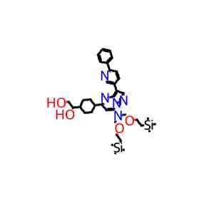 C[Si](C)(C)CCOCN(COCC[Si](C)(C)C)c1cc(C2CCC([C@@H](O)CO)CC2)nc2c(-c3ccc(-c4ccccc4)nc3)cnn12